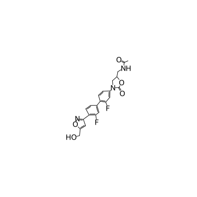 CC(=O)NCC1CN(c2ccc(-c3ccc(-c4cc(CO)on4)c(F)c3)c(F)c2)C(=O)O1